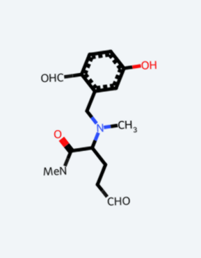 CNC(=O)C(CCC=O)N(C)Cc1cc(O)ccc1C=O